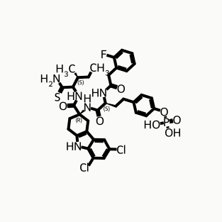 CC[C@H](C)C(NC(=O)[C@@]1(NC(=O)[C@H](CCc2ccc(OP(=O)(O)O)cc2)NC(=O)Cc2ccccc2F)CCc2[nH]c3c(Cl)cc(Cl)cc3c2C1)C(N)=S